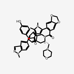 Cc1c(C(=O)N(c2ccc(O)cc2)c2ccc3c(cnn3C)c2)cc(-c2cc3c(cc2C(=O)N2Cc4ccccc4C[C@H]2CN2CCOCC2)OCO3)n1C